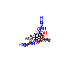 COc1c(NCCC(=O)NCCN2CCNCC2)c2c(=O)cc(OC)c3c4c(OC)cc(=O)c5c(O)c(NCC(=O)NCCN6CCNCC6)c6c(c(c1C(C(C)=O)C(C)=C6)c23)c54